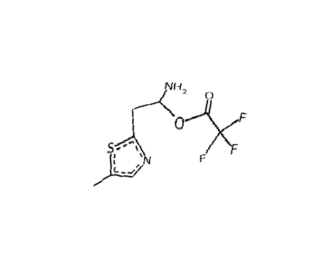 Cc1cnc(CC(N)OC(=O)C(F)(F)F)s1